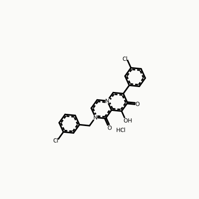 Cl.O=c1c(-c2cccc(Cl)c2)cn2ccn(Cc3cccc(Cl)c3)c(=O)c2c1O